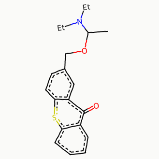 CCN(CC)C(C)OCc1ccc2sc3ccccc3c(=O)c2c1